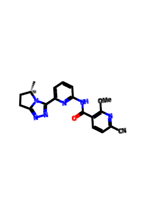 COc1nc(C#N)ccc1C(=O)Nc1cccc(-c2nnc3n2[C@@H](C)CC3)n1